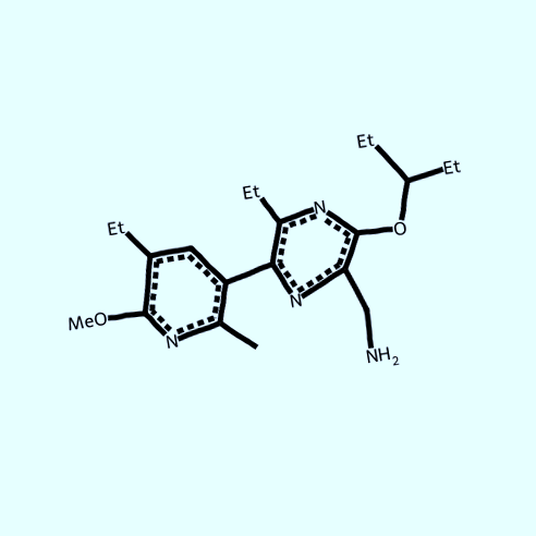 CCc1cc(-c2nc(CN)c(OC(CC)CC)nc2CC)c(C)nc1OC